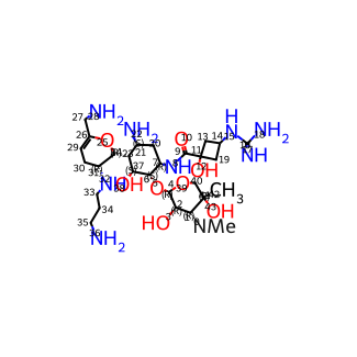 CN[C@@H]1[C@@H](O)[C@@H](O[C@H]2[C@H](NC(=O)C3(O)CC(NC(=N)N)C3)C[C@H](N)C([C@H]3OC(CN)=CC[C@H]3NCCCN)[C@@H]2O)OC[C@]1(C)O